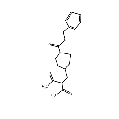 CC(=O)C(CC1CCN(C(=O)OCc2ccccc2)CC1)C(C)=O